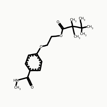 CNC(=O)c1ccc(OCCOC(=O)C(C)(C)C(C)(C)C)cc1